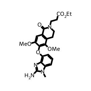 CCOC(=O)CCN1CCc2c(cc(OC)c(Oc3cccc4c3nc(N)n4C)c2OC)C1=O